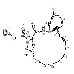 CC(C)(C)OC(=O)N1C[C@@]2(F)COCCCCCC=Cc3ccc(Br)nc3NC(=O)[C@@H]1C2